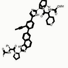 CC#Cc1cc(-c2cnc([C@@H]3C4CC[C@H](C4)N3C(=O)C(NC(=O)OC)C3CCOCC3)[nH]2)ccc1-c1ccc2c(ccc3nc([C@@H]4CCCN4C(=O)[C@@H](NC(=O)OC)C(C)C)[nH]c32)c1